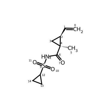 C=C[C@@H]1C[C@]1(C)C(=O)NS(=O)(=O)C1CC1